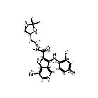 CC1(C)OC[C@H](CONC(=O)c2oc3c(Br)cncc3c2Nc2ccc(I)cc2F)O1